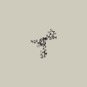 N#CCNc1nc(NN=Cc2c[nH]c3ccccc23)nc(OCCc2ccccn2)n1